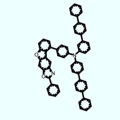 c1ccc(-c2ccc(-c3ccc(N(c4ccc(-c5cccc6oc7cc8oc(-c9ccccc9)nc8cc7c56)cc4)c4cccc(-c5ccc(-c6ccccc6)cc5)c4)cc3)cc2)cc1